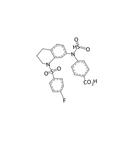 O=C(O)c1ccc(N(c2ccc3c(c2)N(S(=O)(=O)c2ccc(F)cc2)CCC3)[SH](=O)=O)cc1